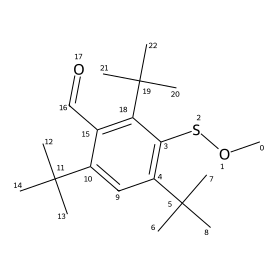 COSc1c(C(C)(C)C)cc(C(C)(C)C)c(C=O)c1C(C)(C)C